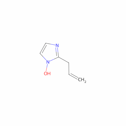 C=CCc1nccn1O